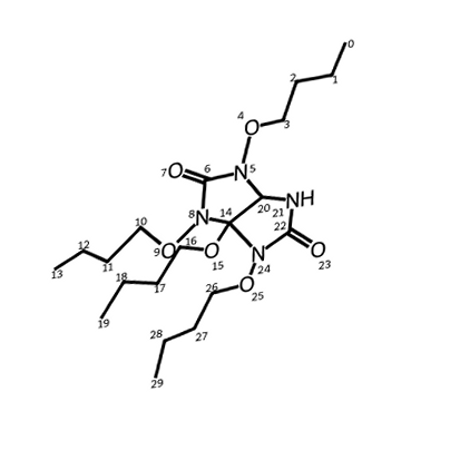 CCCCON1C(=O)N(OCCCC)C2(OCCCC)C1NC(=O)N2OCCCC